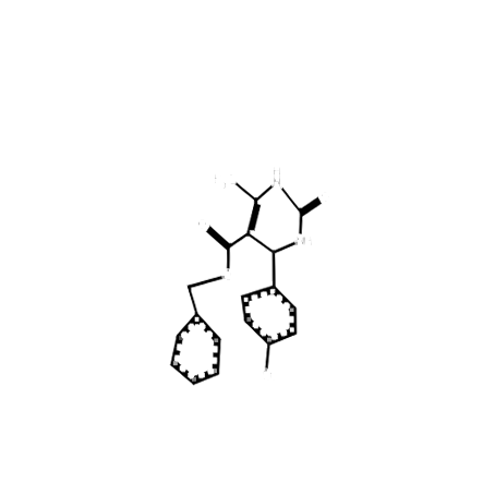 CCc1ccc(C2NC(=O)NC(C)=C2C(=O)OCc2ccccc2)cc1